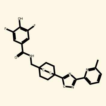 Cc1cccc(-c2noc(C34CCC(CNC(=O)c5cc(F)c(O)c(F)c5)(CC3)CC4)n2)n1